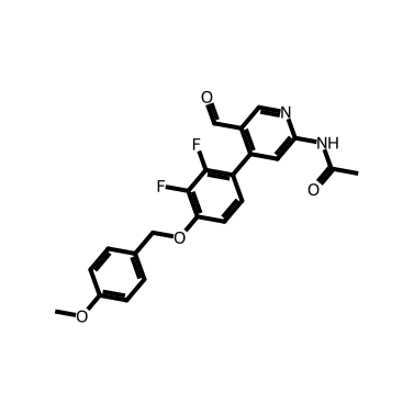 COc1ccc(COc2ccc(-c3cc(NC(C)=O)ncc3C=O)c(F)c2F)cc1